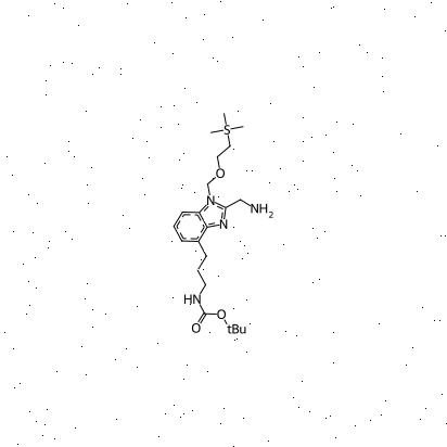 CC(C)(C)OC(=O)NCCCc1cccc2c1nc(CN)n2COCCS(C)(C)C